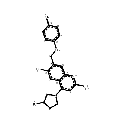 Cc1cc(N2CCC(O)C2)c2cc(C)c(COc3ccc(C#N)cc3)cc2n1